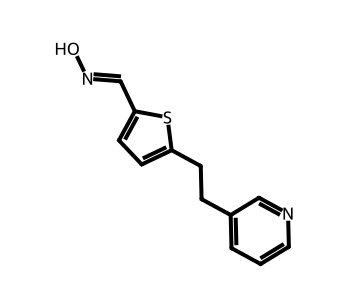 O/N=C/c1ccc(CCc2cccnc2)s1